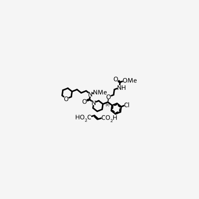 CNN(CCCC1CCCOC1)C(=O)N1CCCC([C@@H](OCCNC(=O)OC)c2cccc(Cl)c2)C1.O=C(O)C=CC(=O)O